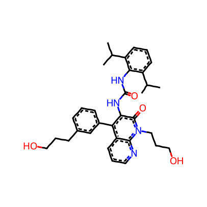 CC(C)c1cccc(C(C)C)c1NC(=O)Nc1c(-c2cccc(CCCO)c2)c2cccnc2n(CCCO)c1=O